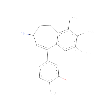 COc1ccc(C2=CC(N)CCc3c2cc(OC)c(OC)c3OC)cc1O